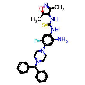 Cc1noc(C)c1NC(=S)Nc1cc(F)c(N2CCN(C(c3ccccc3)c3ccccc3)CC2)cc1N